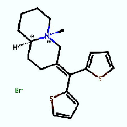 C[N@+]12CCCC[C@@H]1CCC(=C(c1cccs1)c1cccs1)C2.[Br-]